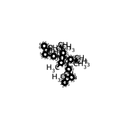 Cc1cc2c3c(c1)N(c1ccc(-c4cccc5c4C(C)(C)c4ccccc4-5)cc1)c1cc(C(C)(C)C)ccc1B3c1ccc(C(C)(C)C)cc1N2c1ccc(-c2cccc3c2C(C)(C)c2ccccc2-3)cc1